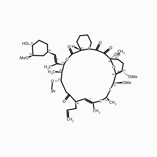 C=CC[C@@H]1/C=C(\C)C[C@H](C)C[C@H](OC)[C@H]2O[C@@](O)(C(=O)C(=O)N3CCCC[C@H]3C(=O)O[C@H](/C(C)=C/[C@@H]3CC[C@@H](O)[C@H](OC)C3)[C@H](C)[C@@H](OC(C)C)CC1=O)[C@H](C)C[C@@H]2OC